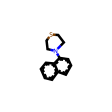 c1ccc2c(N3CCSCC3)cccc2c1